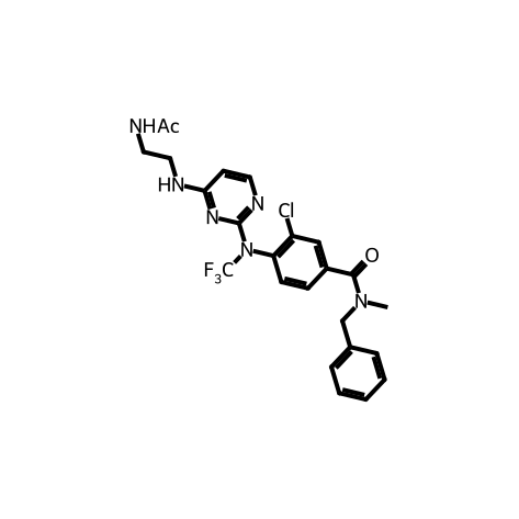 CC(=O)NCCNc1ccnc(N(c2ccc(C(=O)N(C)Cc3ccccc3)cc2Cl)C(F)(F)F)n1